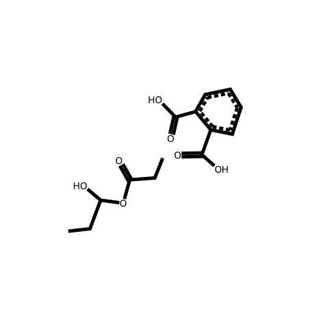 CCC(=O)OC(O)CC.O=C(O)c1ccccc1C(=O)O